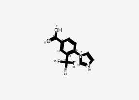 O=C(O)c1ccc(-n2ccnc2)c(C(F)(F)F)c1